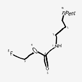 CCCCCCCNC(=O)OCF